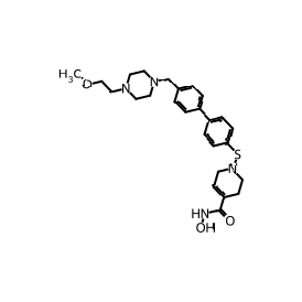 COCCN1CCN(Cc2ccc(-c3ccc(SN4CC=C(C(=O)NO)CC4)cc3)cc2)CC1